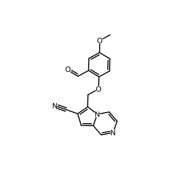 COc1ccc(OCc2c(C#N)cc3cnccn23)c(C=O)c1